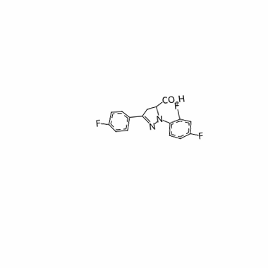 O=C(O)C1CC(c2ccc(F)cc2)=NN1c1ccc(F)cc1F